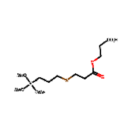 CO[Si](CCCSCCC(=O)OCCC(=O)O)(OC)OC